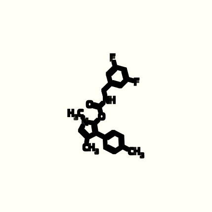 Cc1ccc(-c2c(C)cn(C)c2OC(=O)NCc2cc(F)cc(F)c2)cc1